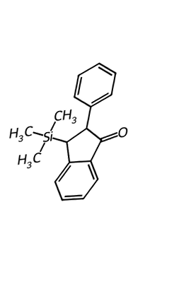 C[Si](C)(C)C1c2ccccc2C(=O)C1c1ccccc1